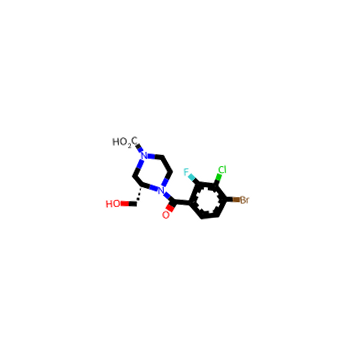 O=C(O)N1CCN(C(=O)c2ccc(Br)c(Cl)c2F)[C@H](CO)C1